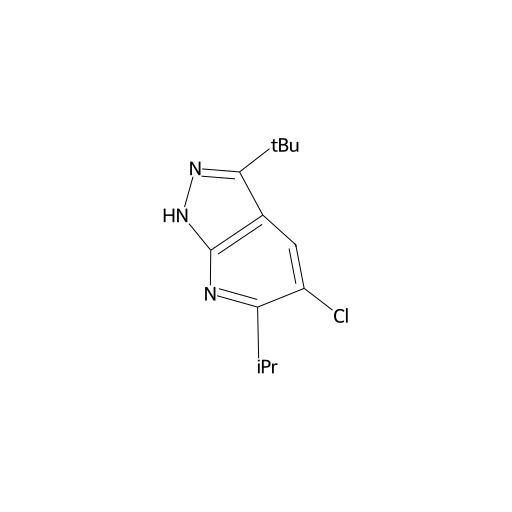 CC(C)c1nc2[nH]nc(C(C)(C)C)c2cc1Cl